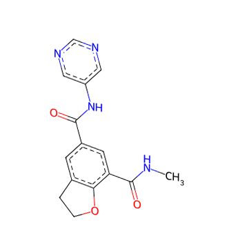 CNC(=O)c1cc(C(=O)Nc2cncnc2)cc2c1OCC2